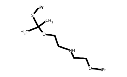 CC(C)OCCNCCOC(C)(C)SC(C)C